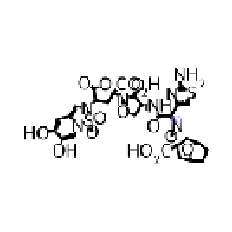 Nc1nc(/C(=N/OC2(C(=O)O)CC3CCC(C2)O3)C(=O)N[C@H]2CON(C3(C(=O)O)CC(N4C=C5C=C(O)C(O)=CN5S4(=O)=O)C(=O)O3)C2=O)cs1